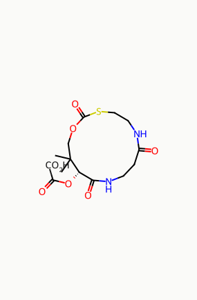 CC1(C)COC(=O)SCCNC(=O)CCNC(=O)[C@@H]1OC(=O)C(=O)O